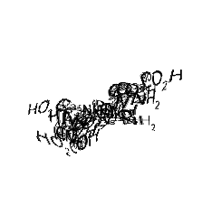 CC(C)[C@H](NC(=O)[C@@H]1CCCN1C(=O)[C@H](CC(N)=O)NC(=O)[C@H](CC(=O)O)NC(=O)[C@@H](N)CCC(=O)O)C(=O)N[C@@H](CCC(=O)O)C(=O)N[C@@H](CC(=O)O)C(=O)N[C@@H](CO)C(=O)O